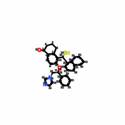 O=C1CCCc2c1ccc(O[C@H](Cn1ccnc1)c1ccccc1)c2C(S)c1cccc2ccccc12